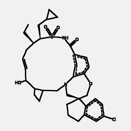 CC[C@@H]1C/C=C/C(O)C2CCC2CN2C[C@@]3(CCCc4cc(Cl)ccc43)COc3ccc(cc32)C(=O)NS(=O)(=O)[C@@H]1CC1CC1